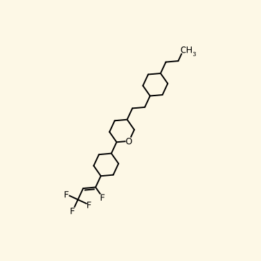 CCCC1CCC(CCC2CCC(C3CCC(/C(F)=C/C(F)(F)F)CC3)OC2)CC1